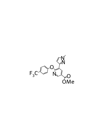 COC(=O)c1cnc(Oc2ccc(C(F)(F)F)cc2)c(-c2ccn(C)n2)c1